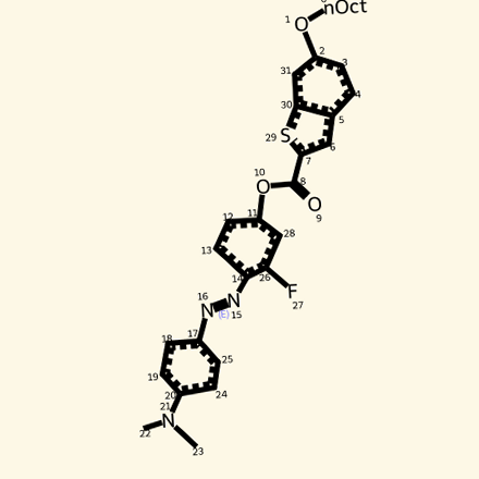 CCCCCCCCOc1ccc2cc(C(=O)Oc3ccc(/N=N/c4ccc(N(C)C)cc4)c(F)c3)sc2c1